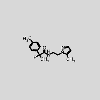 Cc1ccc(C(C)(F)C(=O)NCCn2nccc2C)cc1